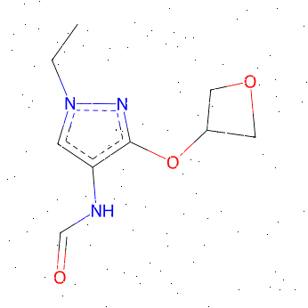 CCn1cc(NC=O)c(OC2COC2)n1